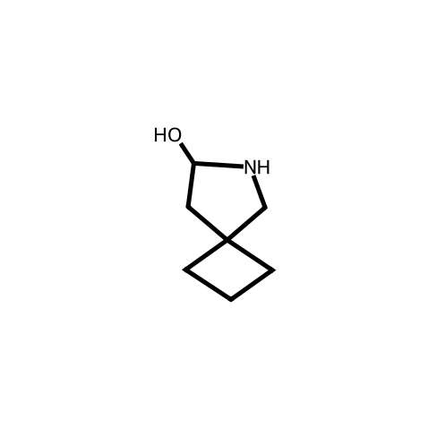 OC1CC2(CCC2)CN1